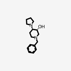 O[C@@H]1CN(Cc2ccccc2)CC[C@H]1N1CCCC1